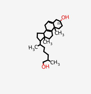 CC(CO)CCCC(C)C1CCC2C3=C(CCC21C)C1(C)CC[C@H](O)CC1=CC3